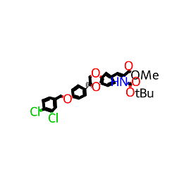 COC(=O)C(=Cc1ccc2c(c1)OC[C@@H](c1ccc(OCc3ccc(Cl)c(Cl)c3)cc1)O2)NC(=O)OC(C)(C)C